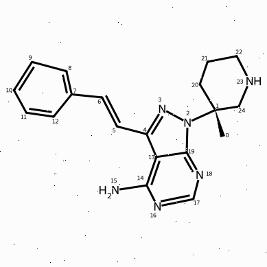 C[C@@]1(n2nc(/C=C/c3ccccc3)c3c(N)ncnc32)CCCNC1